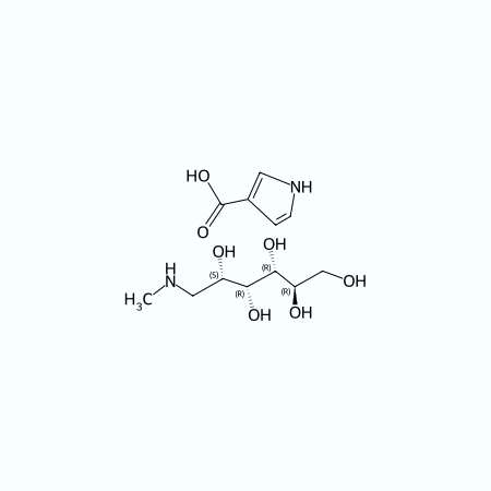 CNC[C@H](O)[C@@H](O)[C@H](O)[C@H](O)CO.O=C(O)c1cc[nH]c1